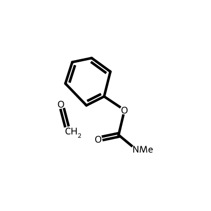 C=O.CNC(=O)Oc1ccccc1